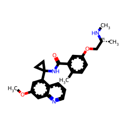 CN[C@H](C)COc1ccc(C)c(C(=O)NC2(c3cc(OC)cc4ncccc34)CC2)c1